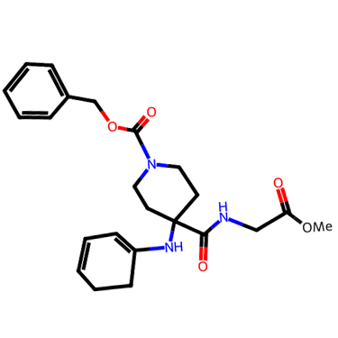 COC(=O)CNC(=O)C1(NC2=CC=CCC2)CCN(C(=O)OCc2ccccc2)CC1